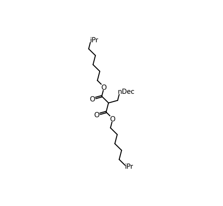 CCCCCCCCCCCC(C(=O)OCCCCCC(C)C)C(=O)OCCCCCC(C)C